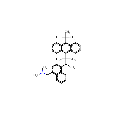 CC(c1ccc(CN(C)C)c2ccccc12)C(C)(C)c1c2ccccc2c(C(C)(C)C)c2ccccc12